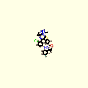 Cc1nnc2n1-c1sc3c(c1C(c1ccccc1Cl)=NC21CC1)C[C@H](C(=O)NC1(c2cccc(F)c2)CC1)C3